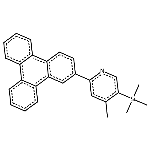 Cc1cc(-c2ccc3c4ccccc4c4ccccc4c3c2)ncc1[Si](C)(C)C